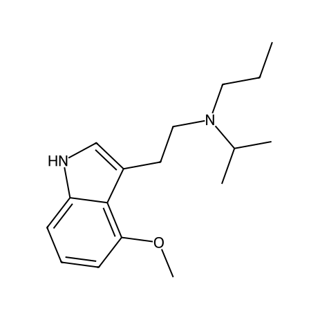 CCCN(CCc1c[nH]c2cccc(OC)c12)C(C)C